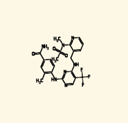 Cc1cc(C(N)=O)ccc1Nc1ncc(C(F)(F)F)c(NCc2cccnc2N(C)S(C)(=O)=O)n1